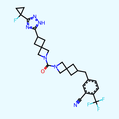 N#Cc1cc(CC2CC3(C2)CN(C(=O)N2CC4(CC(c5nc(C6(F)CC6)n[nH]5)C4)C2)C3)ccc1C(F)(F)F